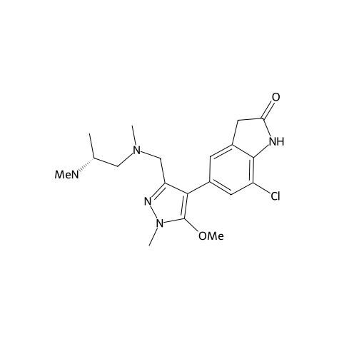 CN[C@H](C)CN(C)Cc1nn(C)c(OC)c1-c1cc(Cl)c2c(c1)CC(=O)N2